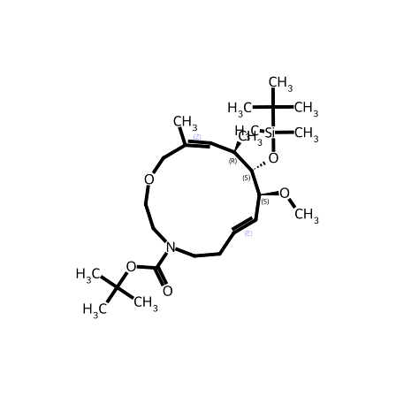 CO[C@H]1/C=C/CCN(C(=O)OC(C)(C)C)CCOC/C(C)=C\[C@@H](C)[C@@H]1O[Si](C)(C)C(C)(C)C